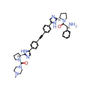 CN1CCN(C(=O)N2CCC[C@H]2c2ncc(-c3ccc(C#Cc4ccc(-c5cnc([C@@H]6CCCN6C(=O)[C@H](N)c6ccccc6)[nH]5)cc4)cc3)[nH]2)CC1